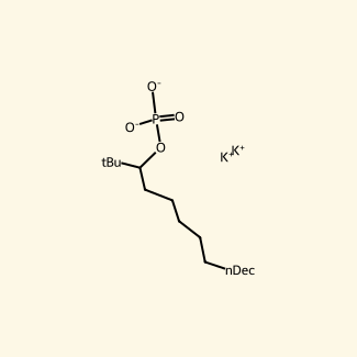 CCCCCCCCCCCCCCCC(OP(=O)([O-])[O-])C(C)(C)C.[K+].[K+]